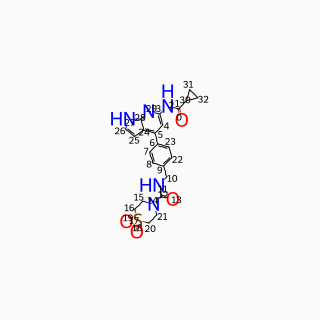 O=C(Nc1cc(-c2ccc(CNC(=O)N3CCS(=O)(=O)CC3)cc2)c2cc[nH]c2n1)C1CC1